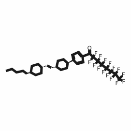 CCCCC[C@H]1CC[C@H](CC[C@H]2CC[C@H](c3ccc(C(=O)C(F)(F)C(F)(F)C(F)(F)C(F)(F)C(F)(F)C(F)(F)C(F)(F)F)cc3)CC2)CC1